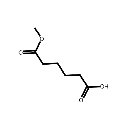 O=C(O)CCCCC(=O)OI